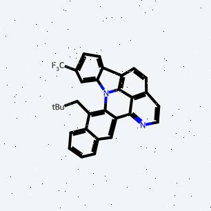 CC(C)(C)Cc1c2ccccc2cc2c3nccc4ccc5c6ccc(C(F)(F)F)cc6n(c12)c5c43